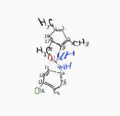 Cc1cc(C)c(NC(=O)Nc2ccc(Cl)cc2)c(C)c1